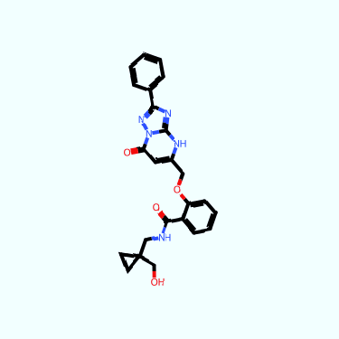 O=C(NCC1(CO)CC1)c1ccccc1OCc1cc(=O)n2nc(-c3ccccc3)nc2[nH]1